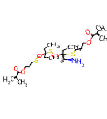 C=C(C)C(=O)OCCCSOC(CC)(CC)SOC(CC)(CN)SCCCOC(=O)C(=C)C